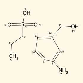 CCCS(=O)(=O)O.Nc1cccc(CO)c1